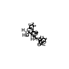 CC(=O)N1CCCC12CN(CC(=O)N[C@H](C(=O)N1CCCC1)[C@@H](C)O)C2=O